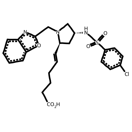 O=C(O)CCCC=C[C@@H]1C[C@@H](NS(=O)(=O)c2ccc(Cl)cc2)CN1Cc1nc2ccccc2o1